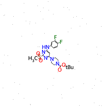 CC(C)(C)OC(=O)N1CCN(c2cc(Nc3ccc(F)c(F)c3)nc(S(C)(=O)=O)n2)CC1